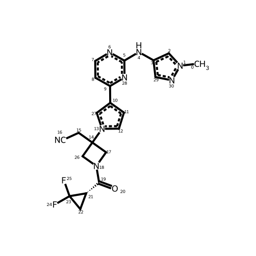 Cn1cc(Nc2nccc(-c3ccn(C4(CC#N)CN(C(=O)[C@@H]5CC5(F)F)C4)c3)n2)cn1